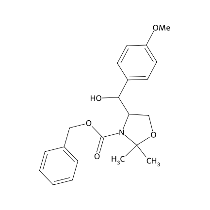 COc1ccc(C(O)C2COC(C)(C)N2C(=O)OCc2ccccc2)cc1